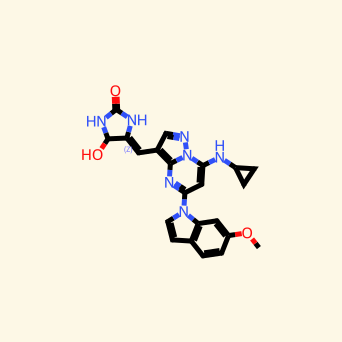 COc1ccc2ccn(-c3cc(NC4CC4)n4ncc(/C=C5\NC(=O)NC5O)c4n3)c2c1